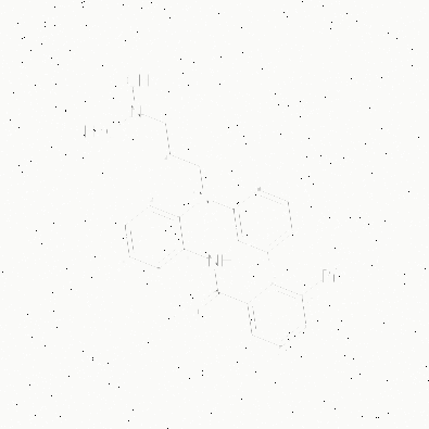 CN(C)CCCN(c1ccccc1)c1ccccc1NC(=O)c1cccc(Br)c1